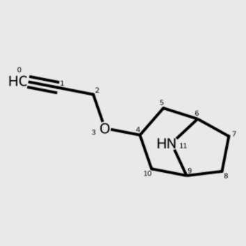 C#CCOC1CC2CCC(C1)N2